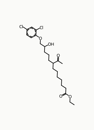 CCOC(=O)CCCCCCC(CCCC(O)COc1ccc(Cl)cc1Cl)C(C)=O